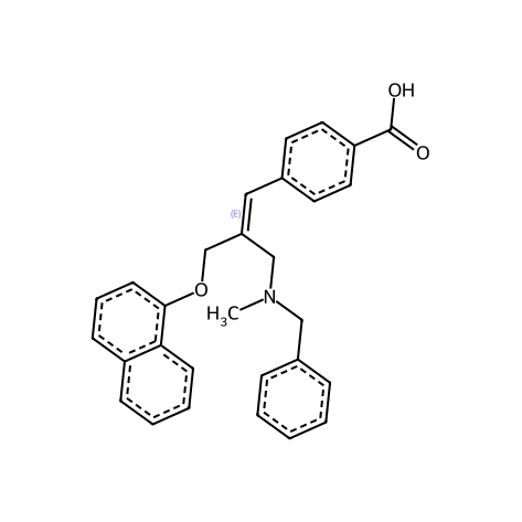 CN(C/C(=C\c1ccc(C(=O)O)cc1)COc1cccc2ccccc12)Cc1ccccc1